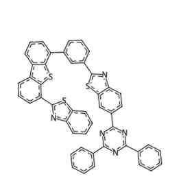 c1ccc(-c2nc(-c3ccccc3)nc(-c3ccc4nc(-c5cccc(-c6cccc7c6sc6c(-c8nc9ccccc9s8)cccc67)c5)sc4c3)n2)cc1